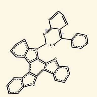 N/C(=C1/C=CC=C/C1=N/Cn1c2ccccc2c2c3c4ccccc4oc3c3c4ccccc4oc3c21)c1ccccc1